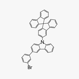 Brc1cccc(-c2ccc3c(c2)c2ccccc2n3-c2ccc3c(c2)-c2ccccc2C32c3ccccc3-c3ccccc32)c1